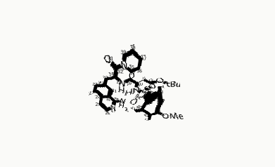 COc1cc(C)c(S(=O)(=O)N[C@@H](CC(=O)OC(C)(C)C)C(=O)NC(Cc2ccc3ccnc(N)c3c2)C(=O)N2CCCCC2)c(C)c1C